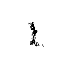 CN1CCN(Cc2ccc(NC(=O)CCc3ccc(-c4cnc5[nH]ncc5c4)cc3F)cc2C(F)(F)F)CC1